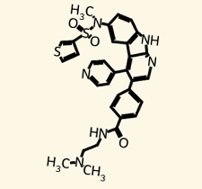 CN(C)CCNC(=O)c1ccc(-c2cnc3[nH]c4ccc(N(C)S(=O)(=O)c5ccsc5)cc4c3c2-c2ccncc2)cc1